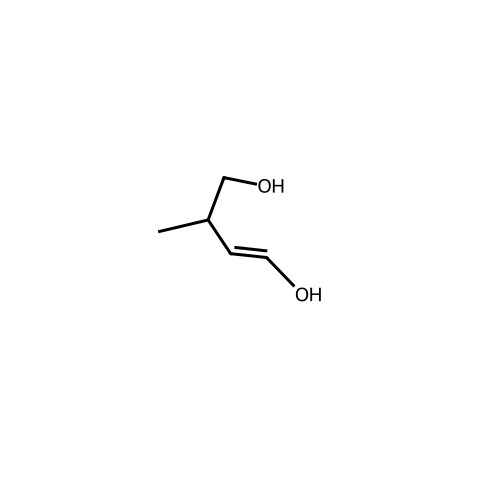 CC(C=CO)CO